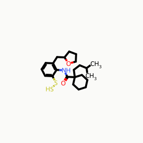 CC(C)CCC1(C(=O)Nc2c(CC3CCCO3)cccc2SS)CCCCC1